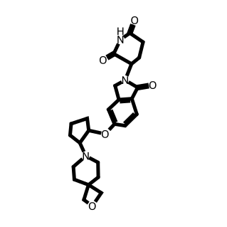 O=C1CCC(N2Cc3cc(OC4CCCC4N4CCC5(CC4)COC5)ccc3C2=O)C(=O)N1